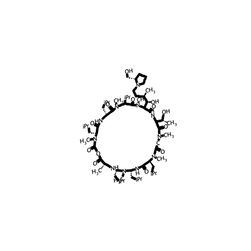 CC(C)C[C@@H]1C(=O)N[C@H](CC(C)C)C(=O)N(C)C(C(C)C)C(=O)N(C)C([C@H](O)[C@H](C)CCN2CCC[C@H]2CO)C(=O)NC([C@@H](C)O)C(=O)N(C)CC(=O)N(C)[C@@H](CC(C)C)C(=O)N[C@H](CC(C)C)N(C)[C@H](CC(C)C)N[C@H](C)C(=O)OC(=O)N1C